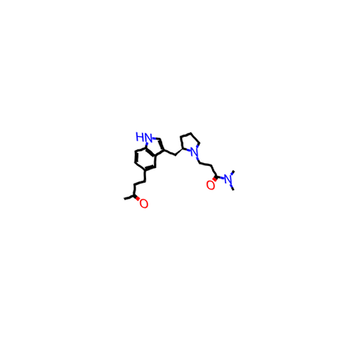 CC(=O)CCc1ccc2[nH]cc(C[C@H]3CCCN3CCC(=O)N(C)C)c2c1